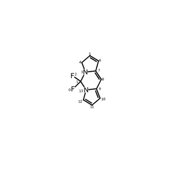 FC1(F)N2CC=CC2=Cc2cccn21